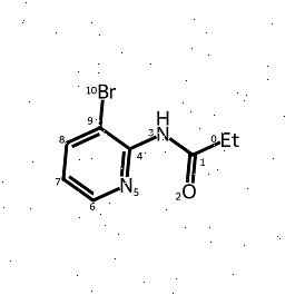 CCC(=O)Nc1ncccc1Br